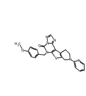 COc1ccc(Cn2c(=O)n3ncnc3c3c4c(sc32)CN(c2ccccn2)CC4)cc1